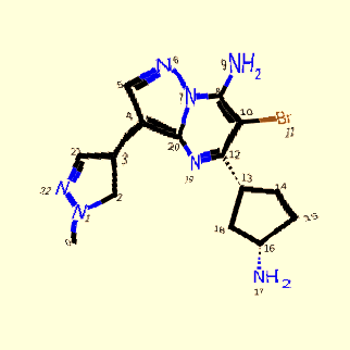 CN1CC(c2cnn3c(N)c(Br)c([C@@H]4CC[C@H](N)C4)nc23)C=N1